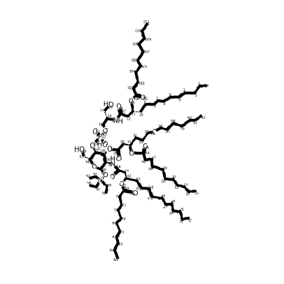 CCCCCCCCCCC[C@H](CC(=O)N[C@@H](CO)COP(=O)(O)O[C@H]1[C@H](OC(=O)C[C@@H](CCCCCCCCCCC)OC(=O)CCCCCCCCCC)[C@@H](NC(=O)C[C@@H](CCCCCCCCCCC)OC(=O)CCCCCCCCCC)C(O[N+](CC)(CC)CC)O[C@@H]1CO)OC(=O)CCCCCCCCCC